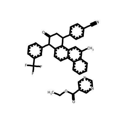 CCOC(=O)c1cncnc1.Cc1cc2c3c(ccc2c2ccccc12)C(c1cccc(C(F)(F)F)c1)C(=O)CC3c1ccc(C#N)cc1